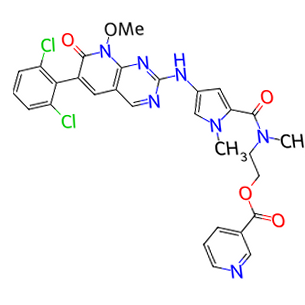 COn1c(=O)c(-c2c(Cl)cccc2Cl)cc2cnc(Nc3cc(C(=O)N(C)CCOC(=O)c4cccnc4)n(C)c3)nc21